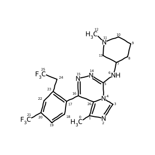 Cc1ncn2c(NC3CCCN(C)C3)nnc(-c3ccc(C(F)(F)F)cc3CC(F)(F)F)c12